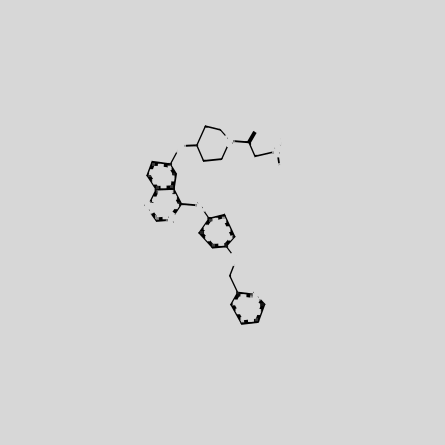 CN(C)CC(=O)N1CCC(Oc2ccc3ncnc(Nc4ccc(OCc5ccccn5)cc4)c3c2)CC1